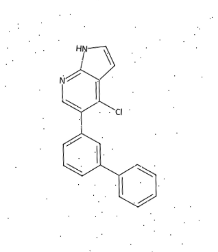 Clc1c(-c2cccc(-c3ccccc3)c2)cnc2[nH]ccc12